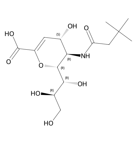 CC(C)(C)CC(=O)N[C@H]1[C@H]([C@H](O)[C@H](O)CO)OC(C(=O)O)=C[C@@H]1O